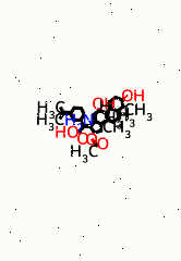 CC(=O)OC1CC2(C)C3(C)CC[C@H]4C(C)[C@H](O)CCC4(C)[C@@H]3[C@H](O)C[C@@]2(N)/C1=C(/C(=O)O)C1CCCC(=C(C)C)C1